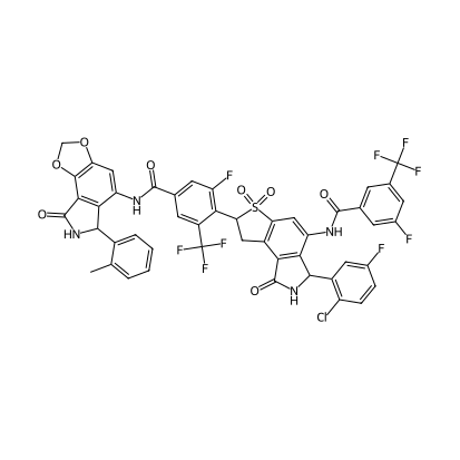 Cc1ccccc1C1NC(=O)c2c3c(cc(NC(=O)c4cc(F)c(C5Cc6c(cc(NC(=O)c7cc(F)cc(C(F)(F)F)c7)c7c6C(=O)NC7c6cc(F)ccc6Cl)S5(=O)=O)c(C(F)(F)F)c4)c21)OCO3